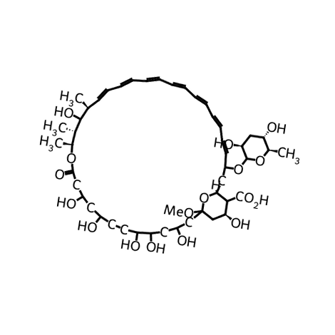 COC12CC(O)CC(O)C(O)CCC(O)CC(O)CC(=O)O[C@@H](C)[C@H](C)C(O)[C@@H](C)/C=C/C=C/C=C/C=C/C=C/C=C/C=C/C(OC3O[C@H](C)[C@@H](O)C[C@@H]3O)C[C@H](O1)C(C(=O)O)[C@@H](O)C2